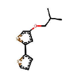 CC(C)COc1csc(-c2cccs2)c1